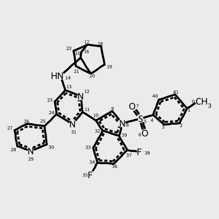 Cc1ccc(S(=O)(=O)n2cc(-c3nc(NC4CC5CCC4CC5)cc(-c4cccnc4)n3)c3cc(F)cc(F)c32)cc1